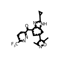 Cc1noc(C)c1-c1cc(C(=O)c2ccc(C(F)(F)F)nn2)c2nc(C3CC3)[nH]c2c1